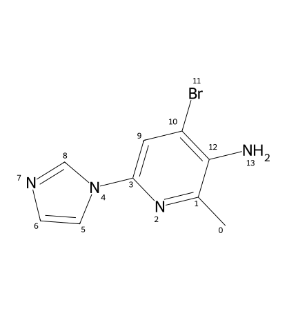 Cc1nc(-n2ccnc2)cc(Br)c1N